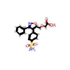 NS(=O)(=O)c1ccc(-c2c(-c3ccccc3)noc2COCC(=O)O)cc1